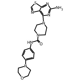 Nc1nc(N2CCN(C(=O)Nc3ccc(N4CCOCC4)cc3)CC2)c2ncsc2n1